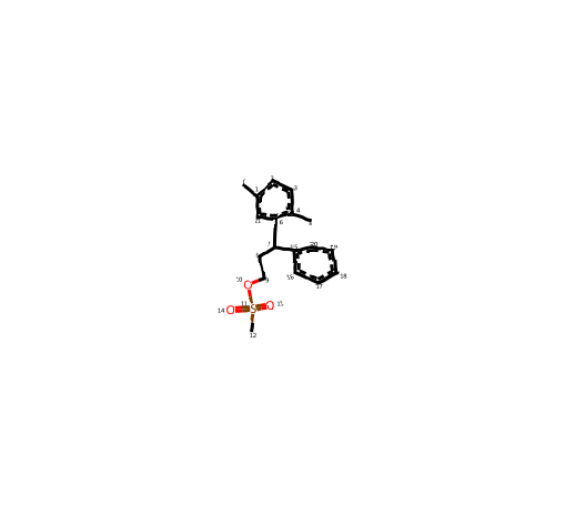 Cc1ccc(C)c(C(CCOS(C)(=O)=O)c2ccccc2)c1